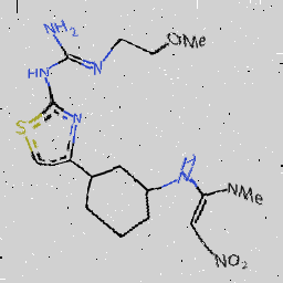 CNC(=C[N+](=O)[O-])NC1CCCC(c2csc(NC(N)=NCCOC)n2)C1